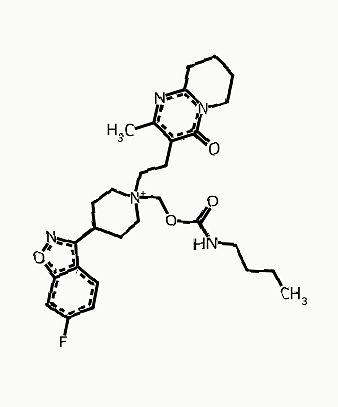 CCCCNC(=O)OC[N+]1(CCc2c(C)nc3n(c2=O)CCCC3)CCC(c2noc3cc(F)ccc23)CC1